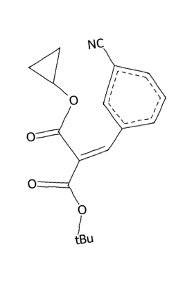 CC(C)(C)OC(=O)C(=Cc1cccc(C#N)c1)C(=O)OC1CC1